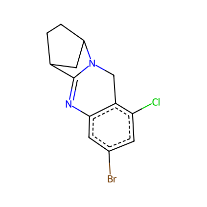 Clc1cc(Br)cc2c1CN1C(=N2)C2CCC1C2